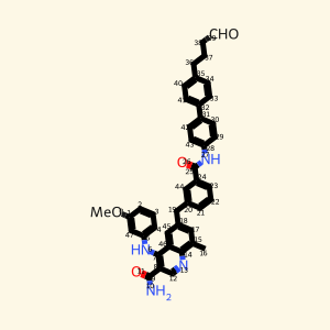 COc1cccc(Nc2c(C(N)=O)cnc3c(C)cc(Cc4cccc(C(=O)Nc5ccc(-c6ccc(CCCC=O)cc6)cc5)c4)cc23)c1